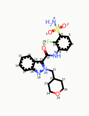 NS(=O)(=O)c1cccc(NC(=O)c2c3ccccc3nn2CC2CCOCC2)c1F